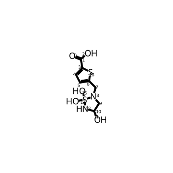 O=C(O)c1ccc(CN2CC(O)NS2(O)O)s1